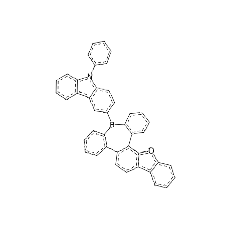 c1ccc(-n2c3ccccc3c3cc(B4c5ccccc5-c5ccc6c(oc7ccccc76)c5-c5ccccc54)ccc32)cc1